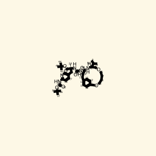 CC(C)[C@H]1COCCCCOc2ccc(cc2)C[C@@H](NC(=O)N[C@@](C)(Cc2ccc(NC(=O)OC(C)(C)C)nc2)C(=O)OC(C)(C)C)C(=O)N1